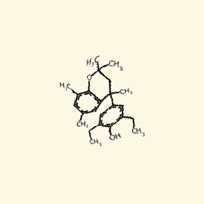 CCc1cc(C2(C)CC(C)(C)Oc3c(C)cc(C)cc32)cc(CC)c1O